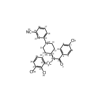 CN(C(=O)c1ccc(Cl)cc1)[C@@H]1CCN(c2cccc(C#N)n2)C[C@H]1c1ccc(Cl)c(Cl)c1